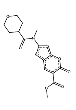 COC(=O)c1cc2sc(N(C)C(=O)C3CCOCC3)cc2oc1=O